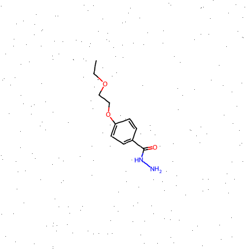 CCOCCOc1ccc(C(=O)NN)cc1